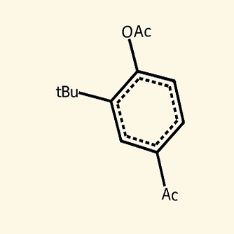 CC(=O)Oc1ccc(C(C)=O)cc1C(C)(C)C